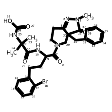 CN1N=C2CCN(C(=O)C(CCc3ccccc3Br)NC(=O)C(C)(C)NC(=O)O)CC2(Cc2ccccc2)C1=O